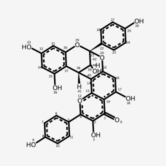 O=c1c(O)c(-c2ccc(O)cc2)oc2c3c(cc(O)c12)O[C@@]1(c2ccc(O)cc2)Oc2cc(O)cc(O)c2[C@@H]3[C@@H]1O